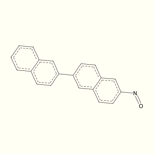 O=Nc1ccc2cc(-c3ccc4ccccc4c3)ccc2c1